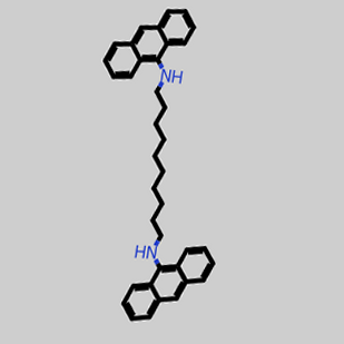 c1ccc2c(NCCCCCCCCCCNc3c4ccccc4cc4ccccc34)c3ccccc3cc2c1